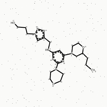 CCCC1CN(c2cc(NCc3cn(CCCO)nn3)nc(N3CCOCC3)n2)CCO1